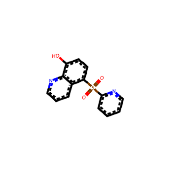 O=S(=O)(c1ccccn1)c1ccc(O)c2ncccc12